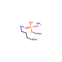 CCCCCCCCCCCCN.CCCCCCOP(=O)(O)O.N